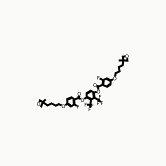 CC1(CCCCOc2ccc(C(=O)Oc3ccc(OC(=O)c4ccc(OCCCCC5(C)COC5)cc4F)c(C(F)(F)F)c3C(F)(F)F)c(F)c2)COC1